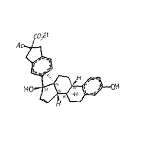 CCOC(=O)C1(C(C)=O)Cc2ccc([C@@]3(O)CC[C@H]4[C@@H]5CCc6cc(O)ccc6[C@H]5CC[C@@]43C)cc2C1